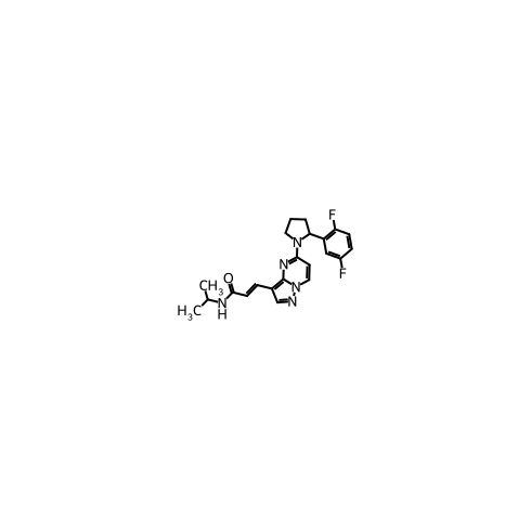 CC(C)NC(=O)/C=C/c1cnn2ccc(N3CCCC3c3cc(F)ccc3F)nc12